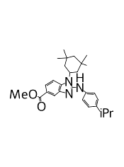 COC(=O)c1ccc2c(c1)nc(Nc1ccc(C(C)C)cc1)n2C1CC(C)(C)CC(C)(C)C1